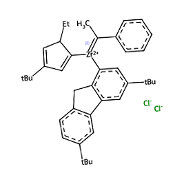 CCC1C=C(C(C)(C)C)C=[C]1/[Zr+2](=[C](\C)c1ccccc1)[c]1cc(C(C)(C)C)cc2c1Cc1ccc(C(C)(C)C)cc1-2.[Cl-].[Cl-]